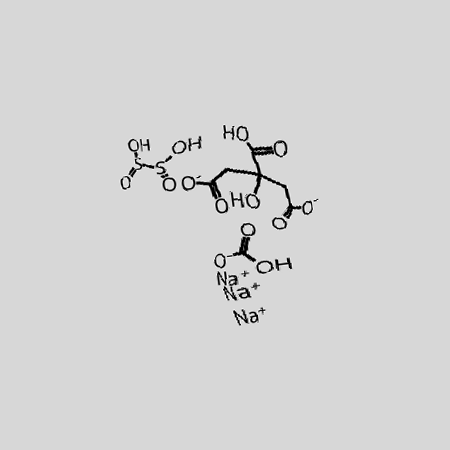 O=C([O-])CC(O)(CC(=O)[O-])C(=O)O.O=C([O-])O.O=S(O)S(=O)O.[Na+].[Na+].[Na+]